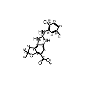 COC(=O)c1cc2c(c3c1OC(C)(C)C3)NC(Nc1cc(C)ccc1Cl)N2